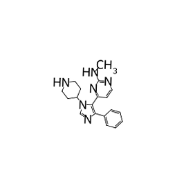 CNc1nccc(-c2c(-c3ccccc3)ncn2C2CCNCC2)n1